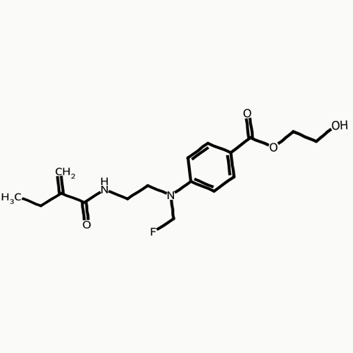 C=C(CC)C(=O)NCCN(CF)c1ccc(C(=O)OCCO)cc1